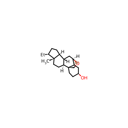 CC[C@H]1CC[C@H]2[C@@H]3C[C@H]4OC[C@@]5(CC[C@H](O)C[C@]45Br)[C@H]3CC[C@]12C